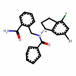 CCc1cc(F)c2c(c1)[C@H](N(Cc1ccccc1C(N)=O)C(=O)c1ccccc1)CC2